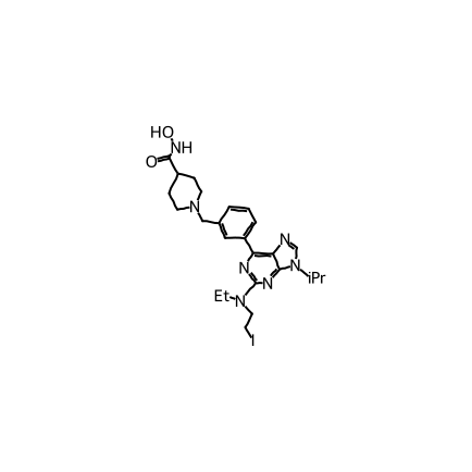 CCN(CCI)c1nc(-c2cccc(CN3CCC(C(=O)NO)CC3)c2)c2ncn(C(C)C)c2n1